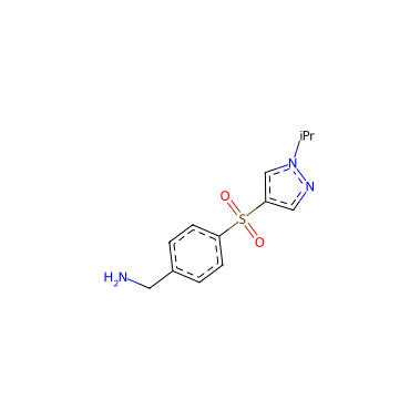 CC(C)n1cc(S(=O)(=O)c2ccc(CN)cc2)cn1